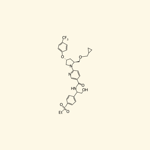 CCS(=O)(=O)c1ccc(C(CO)NC(=O)c2ccc(N3C[C@H](Oc4ccc(C(F)(F)F)cc4)C[C@H]3COCC3CC3)nc2)cc1